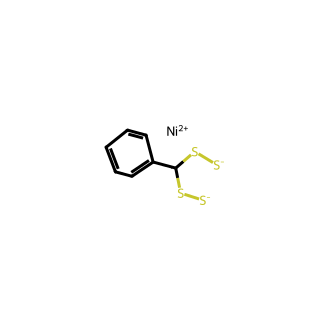 [Ni+2].[S-]S[C](S[S-])c1ccccc1